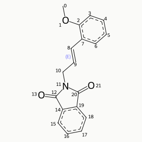 COc1ccccc1/C=C/CN1C(=O)c2ccccc2C1=O